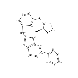 C[C@@H]1CCCN1Cc1ccnc(Nc2nc3ccc(-c4ccncc4)cc3s2)c1